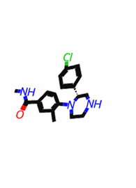 CNC(=O)c1ccc(N2CCNC[C@H]2c2ccc(Cl)cc2)c(C)c1